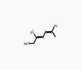 CC/C(=C\C=C(/C)C(C)=O)CC#N